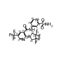 NS(=O)(=O)c1cc(NC(=O)c2cc(C(F)(F)F)cnc2N2CC(F)(F)C(F)(F)C2)ccn1